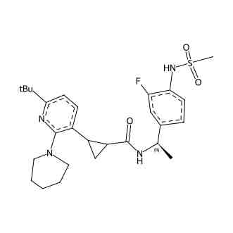 C[C@@H](NC(=O)C1CC1c1ccc(C(C)(C)C)nc1N1CCCCC1)c1ccc(NS(C)(=O)=O)c(F)c1